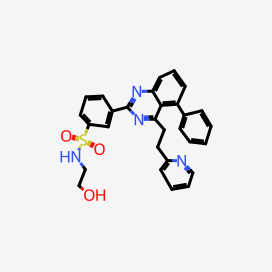 O=S(=O)(NCCO)c1cccc(-c2nc(CCc3ccccn3)c3c(-c4ccccc4)cccc3n2)c1